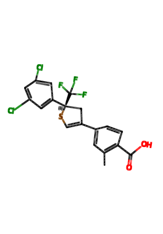 Cc1cc(C2=CS[C@@](c3cc(Cl)cc(Cl)c3)(C(F)(F)F)C2)ccc1C(=O)O